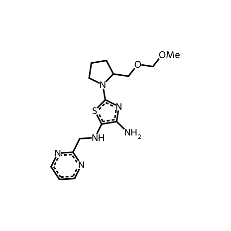 COCOCC1CCCN1c1nc(N)c(NCc2ncccn2)s1